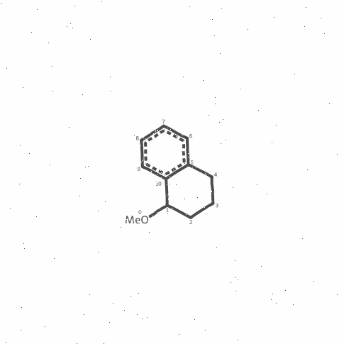 [CH2]OC1CCCc2ccccc21